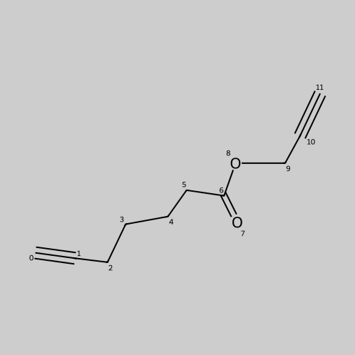 C#CCCCCC(=O)OCC#C